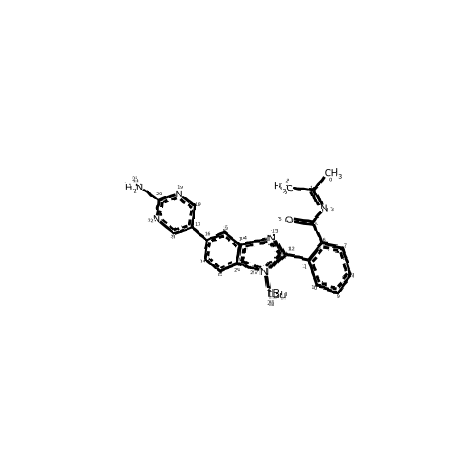 CC(C)=NC(=O)c1ccccc1-c1nc2cc(-c3cnc(N)nc3)ccc2n1C(C)(C)C